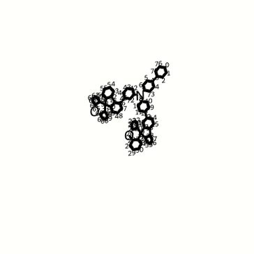 c1ccc(-c2ccc(N(c3ccc(-c4ccc5c(c4)C4(c6ccccc6Oc6ccccc64)c4ccccc4-5)cc3)c3cccc(-c4cccc5c4-c4ccccc4C54c5ccccc5Oc5ccccc54)c3)cc2)cc1